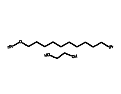 CCCOCCCCCCCCCCC(C)C.OCCO